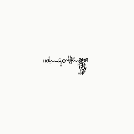 C#CCNC(=O)C1(C(=O)NCCCCC(C(=O)NCCc2ccc(NC(=O)CCCCCCC(=O)NO)cc2)[N+](C)(C)C)COC(c2c(F)c(F)c(N=[N+]=N)c(F)c2F)OC1